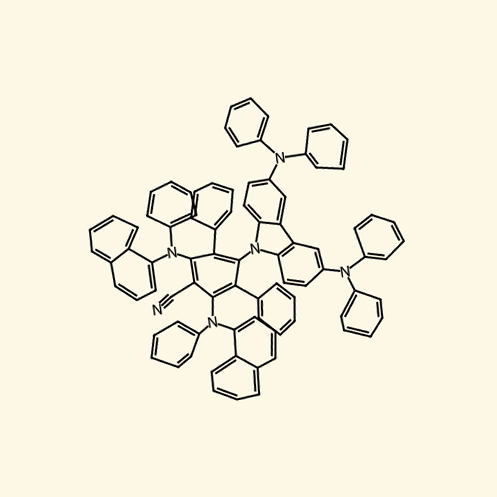 N#Cc1c(N(c2ccccc2)c2cccc3ccccc23)c(-c2ccccc2)c(-n2c3ccc(N(c4ccccc4)c4ccccc4)cc3c3cc(N(c4ccccc4)c4ccccc4)ccc32)c(-c2ccccc2)c1N(c1ccccc1)c1cccc2ccccc12